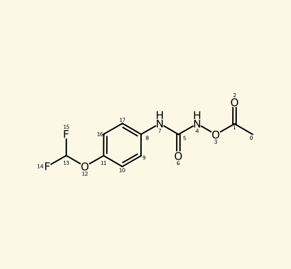 CC(=O)ONC(=O)Nc1ccc(OC(F)F)cc1